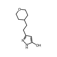 Oc1cc(CCC2CCOCC2)n[nH]1